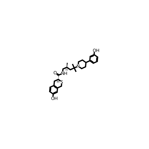 C[C@H](CNC(=O)[C@H]1Cc2ccc(O)cc2CS1)CC(C)(C)N1CCC(c2cccc(O)c2)CC1